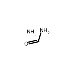 N.N[C]=O